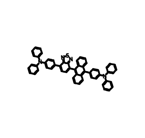 c1ccc(N(c2ccccc2)c2ccc(-c3c4ccccc4c(-c4ccc(-c5ccc(N(c6ccccc6)c6ccccc6)cc5)c5nsnc45)c4ccccc34)cc2)cc1